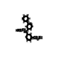 CCOC(=O)c1cccc(Nc2ccnc(-c3cccnc3)c2)c1.Cl.Cl